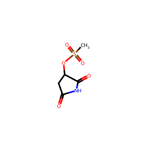 CS(=O)(=O)OC1CC(=O)NC1=O